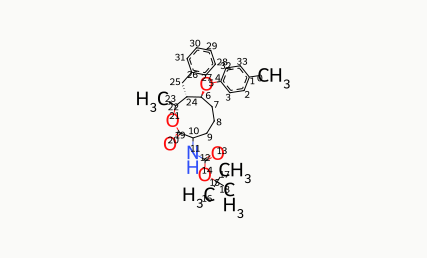 Cc1ccc(O[C@H]2CCCC(NC(=O)OC(C)(C)C)C(=O)O[C@@H](C)[C@@H]2Cc2ccccc2)cc1